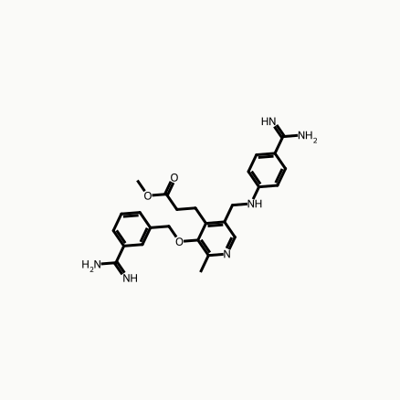 COC(=O)CCc1c(CNc2ccc(C(=N)N)cc2)cnc(C)c1OCc1cccc(C(=N)N)c1